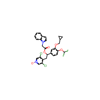 O=C(Cn1ccc2ccccc21)OC(Cc1c(Cl)c[n+]([O-])cc1Cl)c1ccc(OC(F)F)c(OCC2CC2)c1